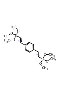 CO[Si](/C=C/c1ccc(/C=C/[Si](OC)(OC)OC)cc1)(OC)OC